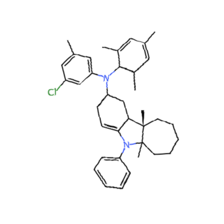 CC1=CC(C)C(N(c2cc(C)cc(Cl)c2)C2CC=C3C(C2)[C@]2(C)CCCCCC2(C)N3c2ccccc2)C(C)=C1